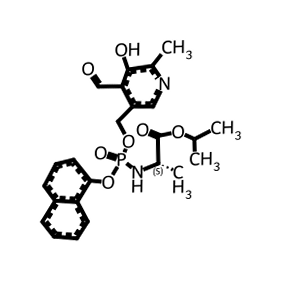 Cc1ncc(COP(=O)(N[C@@H](C)C(=O)OC(C)C)Oc2cccc3ccccc23)c(C=O)c1O